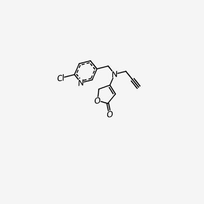 C#CCN(Cc1ccc(Cl)nc1)C1=CC(=O)OC1